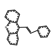 C(=C\c1c2ccccc2nc2ccccc12)/c1ccccc1